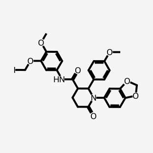 COc1ccc(C2C(C(=O)Nc3ccc(OC)c(OCI)c3)CCC(=O)N2c2ccc3c(c2)OCO3)cc1